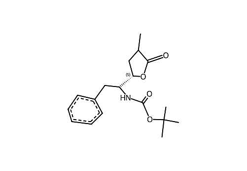 CC1C[C@@H](C(Cc2ccccc2)NC(=O)OC(C)(C)C)OC1=O